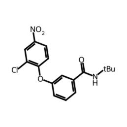 CC(C)(C)NC(=O)c1cccc(Oc2ccc([N+](=O)[O-])cc2Cl)c1